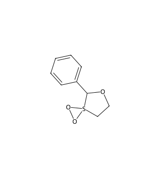 c1ccc(C2OCCS23OO3)cc1